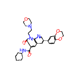 O=C(NC1CCCCC1)c1cc2cc(-c3ccc4c(c3)OCCO4)cnc2n(CCN2CCOCC2)c1=O